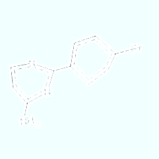 CC(C)c1ccc(-c2nccc(N)n2)cc1